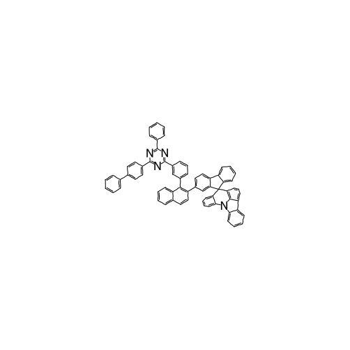 c1ccc(-c2ccc(-c3nc(-c4ccccc4)nc(-c4cccc(-c5c(-c6ccc7c(c6)C6(c8ccccc8-7)c7ccccc7-n7c8ccccc8c8cccc6c87)ccc6ccccc56)c4)n3)cc2)cc1